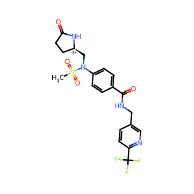 CS(=O)(=O)N(C[C@H]1CCC(=O)N1)c1ccc(C(=O)NCc2ccc(C(F)(F)F)nc2)cc1